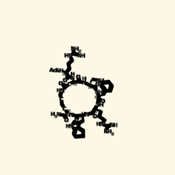 CC(=O)N[C@@H](CCCNC(=N)N)C(=O)N[C@H]1CC(=O)NCCCC[C@@H](C(N)=O)NC(=O)[C@H](Cc2c[nH]c3ccccc23)NC(=O)[C@H](CCCNC(=N)N)NC(=O)[C@@H](Cc2ccccc2)NC(=O)[C@@H](CN)NC1=O